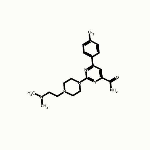 CN(C)CCN1CCN(c2nc(C(N)=O)cc(-c3ccc(C(F)(F)F)cc3)n2)CC1